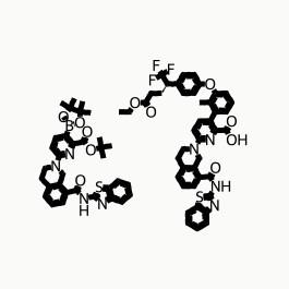 CC(C)(C)OC(=O)c1nc(N2CCc3cccc(C(=O)Nc4nc5ccccc5s4)c3C2)ccc1B1OC(C)(C)C(C)(C)O1.CCOC(=O)CC[C@@H](c1ccc(Oc2cccc(-c3ccc(N4CCc5cccc(C(=O)Nc6nc7ccccc7s6)c5C4)nc3C(=O)O)c2C)cc1)C(F)(F)F